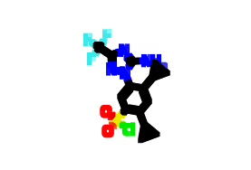 Nc1nc(C(F)(F)F)nn1-c1cc(S(=O)(=O)Cl)c(C2CC2)cc1C1CC1